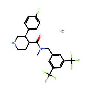 CN(Cc1cc(C(F)(F)F)cc(C(F)(F)F)c1)C(=O)[C@H]1CCNC[C@H]1c1ccc(F)cc1.Cl